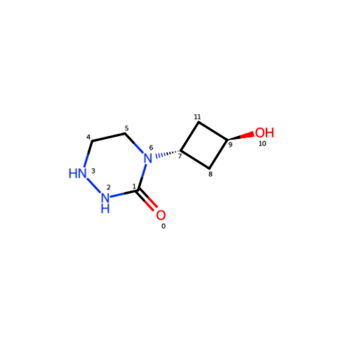 O=C1NNCCN1[C@H]1C[C@H](O)C1